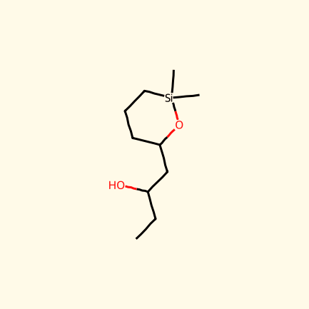 CCC(O)CC1CCC[Si](C)(C)O1